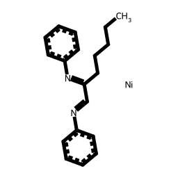 CCCCCC(C=Nc1ccccc1)=Nc1ccccc1.[Ni]